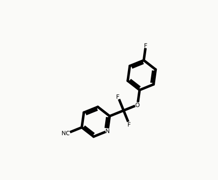 N#Cc1ccc(C(F)(F)Oc2ccc(F)cc2)nc1